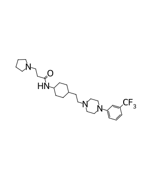 O=C(CCN1CCCC1)NC1CCC(CCN2CCN(c3cccc(C(F)(F)F)c3)CC2)CC1